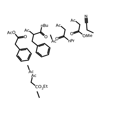 CC.CC(=O)OC(=O)Cc1ccccc1.CC(C)=O.CC(C)=O.CCC#N.CCCC(=O)CC(C)=O.CCCCC(=O)C(Cc1ccccc1)C(C)=O.CCOC(=O)CC(C)=O.COC(=O)CC(C)=O